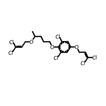 CC(CCCOc1c(Cl)cc(OCC=C(Cl)Cl)cc1Cl)OCC=C(Cl)Cl